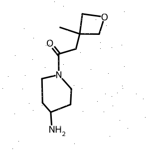 CC1(CC(=O)N2CCC(N)CC2)COC1